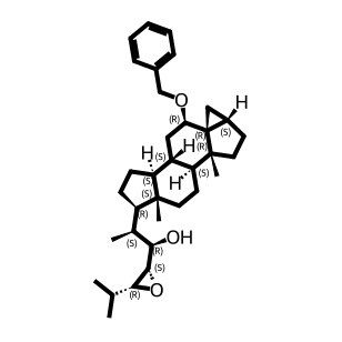 CC(C)[C@H]1O[C@H]1[C@H](O)[C@@H](C)[C@H]1CC[C@H]2[C@@H]3C[C@@H](OCc4ccccc4)[C@]45C[C@@H]4CC[C@]5(C)[C@H]3CC[C@]12C